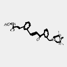 C[C@@H]1CN(Cc2cccc(C(=O)C=Cc3cccc(C=CC(=O)NO)c3)c2)C[C@H](C)N1C